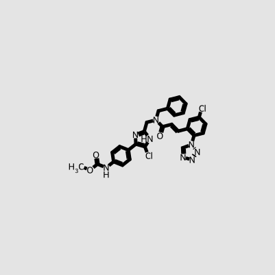 COC(=O)Nc1ccc(-c2nc(CN(Cc3ccccc3)C(=O)C=Cc3cc(Cl)ccc3-n3cnnn3)[nH]c2Cl)cc1